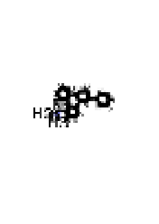 N/C(=N\O)c1cc(-c2cc(-c3ccccc3)ccc2-c2ccccc2)ccc1O